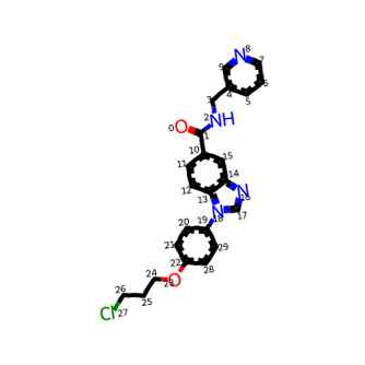 O=C(NCc1cccnc1)c1ccc2c(c1)ncn2-c1ccc(OCCCCl)cc1